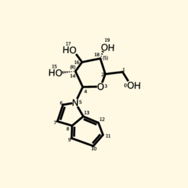 OCC1OC(n2ccc3ccccc32)[C@H](O)C(O)[C@@H]1O